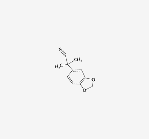 CC(C)(C#N)c1ccc2c(c1)OCO2